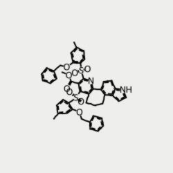 COC(=O)c1c(S(=O)(=O)c2ccc(C)cc2OCc2ccccc2)nc2c(c1S(=O)(=O)c1ccc(C)cc1OCc1ccccc1)CCCc1c-2ccc2[nH]ccc12